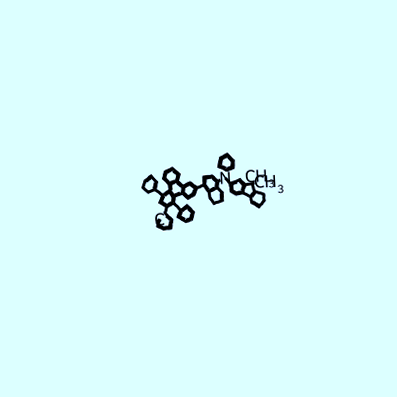 CC1(C)C2=C(C=CCC2)c2ccc(N(c3ccccc3)c3ccc(-c4ccc5c(c4)c4ccccc4c4c(C6=CC=CCC6)cc(-c6ccccc6)c(-c6ccccc6)c54)c4c3C=CCC4)cc21